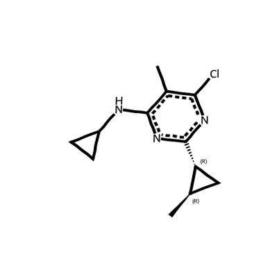 Cc1c(Cl)nc([C@@H]2C[C@H]2C)nc1NC1CC1